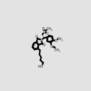 CCOc1cc([C@@H](CS(C)(=O)=O)N2C(=O)c3cccc(CCCCCO)c3C2=O)ccc1OC